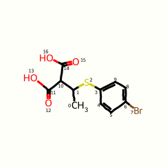 CC(Sc1ccc(Br)cc1)C(C(=O)O)C(=O)O